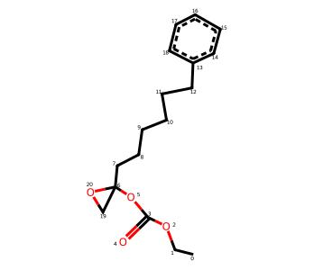 CCOC(=O)OC1(CCCCCCc2ccccc2)CO1